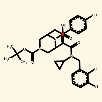 CC(C)(C)OC(=O)N1CC2CC(c3ccc(O)cc3)=C(C(=O)N(Cc3cccc(Cl)c3Cl)C3CC3)C(C1)N2C(=O)O